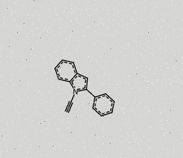 C#Cn1c(-c2ccccc2)cc2ccccc21